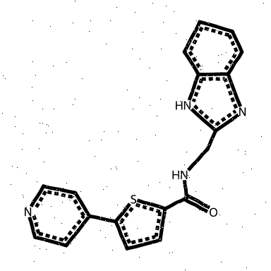 O=C(NCc1nc2ccccc2[nH]1)c1ccc(-c2ccncc2)s1